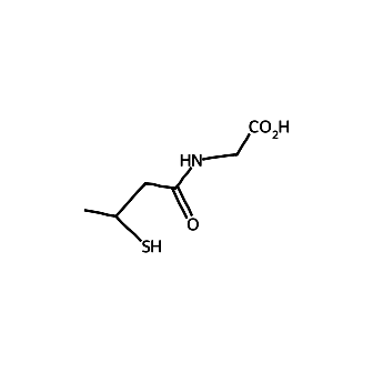 CC(S)CC(=O)NCC(=O)O